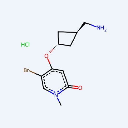 Cl.Cn1cc(Br)c(O[C@H]2C[C@H](CN)C2)cc1=O